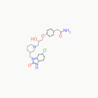 NC(=O)Cc1ccc(OCC(O)CN2CCCC(Cn3c(=O)[nH]c4ccc(Cl)cc43)C2)cc1